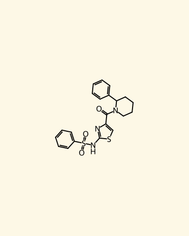 O=C(c1csc(NS(=O)(=O)c2ccccc2)n1)N1CCCCC1c1ccccc1